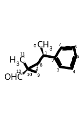 C[C@@H](c1ccccc1)[C@@H]1C[C@@]1(C)C=O